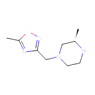 Cc1nc(CN2CCN[C@H](C)C2)no1